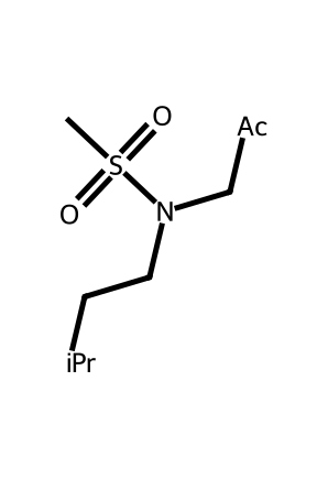 CC(=O)CN(CCC(C)C)S(C)(=O)=O